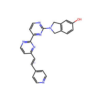 Oc1ccc2c(c1)CN(c1nccc(-c3nccc(/C=C/c4ccncc4)n3)n1)C2